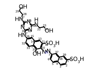 O=S(=O)(O)c1ccc2ccc(/N=N/c3c(S(=O)(=O)O)cc4cc(Nc5nc(NCCO)nc(NCCO)n5)ccc4c3O)cc2c1